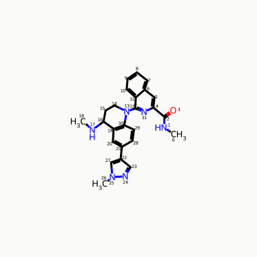 CNC(=O)c1cc2ccccc2c(N2CCC(NC)c3cc(-c4cnn(C)c4)ccc32)n1